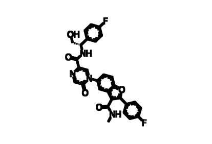 CNC(=O)c1c(-c2ccc(F)cc2)oc2ccc(-n3cc(C(=O)N[C@H](CO)c4ccc(F)cc4)ncc3=O)cc12